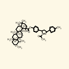 CC(=O)N1N=C(c2ccc(C)cc2)CC1c1ccc(OC(=O)C2(O)CCC(C)(C)[C@@H]3CC[C@]4(C)[C@H](CC[C@@H]5[C@@H]6[C@@H](C)[C@H](C)CC[C@]6(C)CC[C@]54C)[C@]32C)cc1